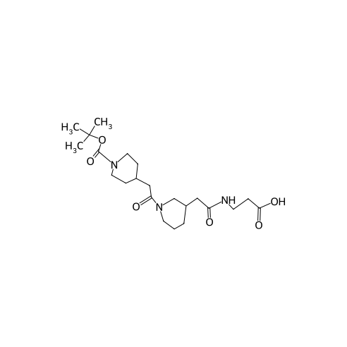 CC(C)(C)OC(=O)N1CCC(CC(=O)N2CCCC(CC(=O)NCCC(=O)O)C2)CC1